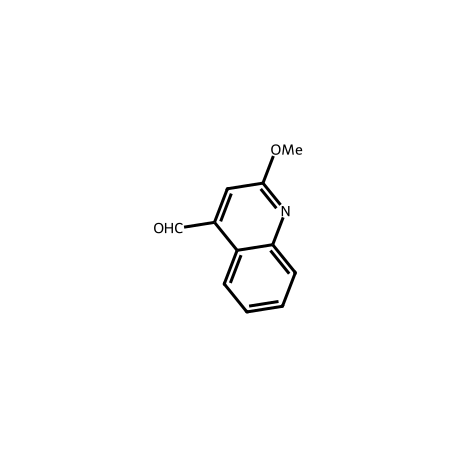 COc1cc(C=O)c2ccccc2n1